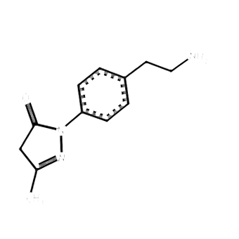 CC1=NN(c2ccc(CCN)cc2)C(=O)C1